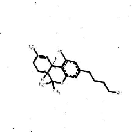 CC1=C[C@H]2c3c(O)cc(CCCCO)cc3OC(C)(C)[C@@H]2CC1